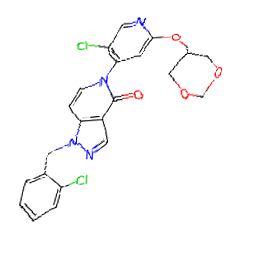 O=c1c2cnn(Cc3ccccc3Cl)c2ccn1-c1cc(OC2COCOC2)ncc1Cl